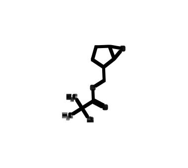 CCC(C)(C)C(=O)OCC1CCC2OC12